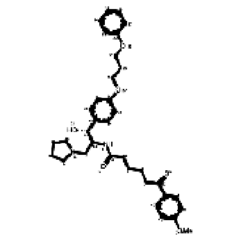 COc1ccc(C(=O)CCCCC(=O)NC(CN2CCCC2)[C@H](O)c2ccc(OCCCOc3ccccc3)cc2)cc1